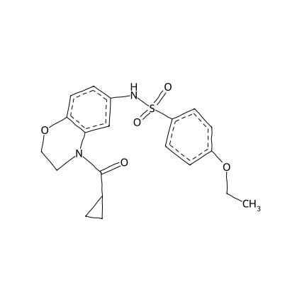 CCOc1ccc(S(=O)(=O)Nc2ccc3c(c2)N(C(=O)C2CC2)CCO3)cc1